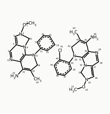 CON1C=C2C=NC3=C(N2C1)N(c1ccccc1)CC(C)=C3N.CON1C=C2C=NC3=C(N2C1)N(c1ccccc1Cl)CC(C)=C3N